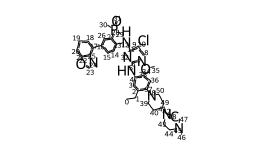 CCc1cc(Nc2ncc(Cl)c(Nc3ccc(-c4cccc5ocnc45)cc3P(C)(C)=O)n2)c(OC)cc1N1CCC(N2CCN(C)CC2)CC1